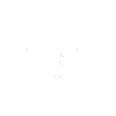 CNC(=O)c1cc(C(=O)NC2CCCCC2)n(C(C)c2ccc(C(F)(F)F)cc2)n1